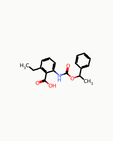 CCc1cccc(NC(=O)OC(C)c2ccccc2)c1C(=O)O